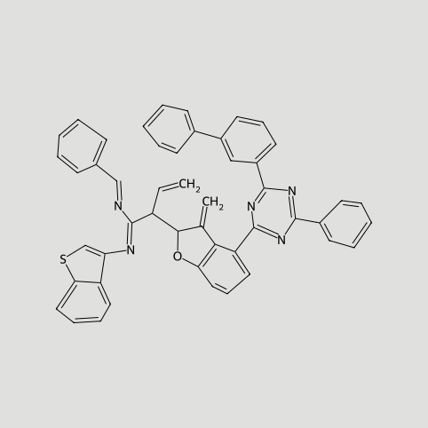 C=CC(C(=N/c1csc2ccccc12)/N=C/c1ccccc1)C1Oc2cccc(-c3nc(-c4ccccc4)nc(-c4cccc(-c5ccccc5)c4)n3)c2C1=C